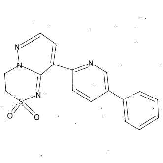 O=S1(=O)CCN2N=CC=C(c3ccc(-c4ccccc4)cn3)C2=N1